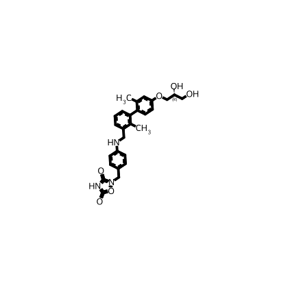 Cc1cc(OC[C@H](O)CO)ccc1-c1cccc(CNc2ccc(Cn3oc(=O)[nH]c3=O)cc2)c1C